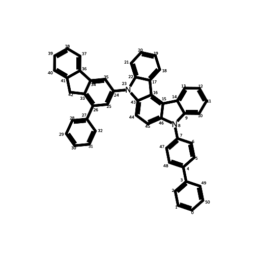 c1ccc(-c2ccc(-n3c4ccccc4c4c5c6ccccc6n(-c6cc(-c7ccccc7)c7c(c6)-c6ccccc6C7)c5ccc43)cc2)cc1